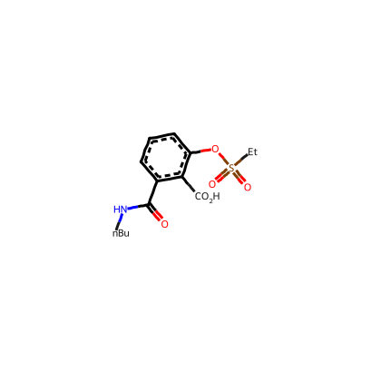 CCCCNC(=O)c1cccc(OS(=O)(=O)CC)c1C(=O)O